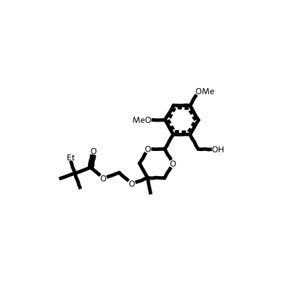 CCC(C)(C)C(=O)OCOC1(C)COC(c2c(CO)cc(OC)cc2OC)OC1